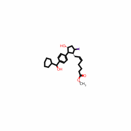 COC(=O)CCC/C=C\C[C@H]1C(I)C[C@@H](O)C1c1ccc(C(O)C2CCCCC2)cc1